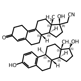 C[C@]12CCC3=C4CCC(=O)C=C4CC[C@H]3[C@@H]1CC[C@@]2(O)CC#N.C[C@]12CC[C@@H]3c4ccc(O)cc4CC[C@H]3[C@@H]1CC[C@@H]2O